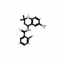 CC1(C)CC(NC(=O)c2ccccc2I)c2cc(C#N)ccc2O1